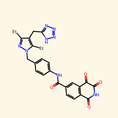 CCc1nn(Cc2ccc(NC(=O)c3ccc4c(c3)C(=O)C(=O)NC4=O)cc2)c(CC)c1Cc1nnn[nH]1